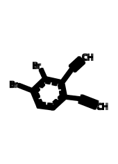 C#Cc1ccc(Br)c(Br)c1C#C